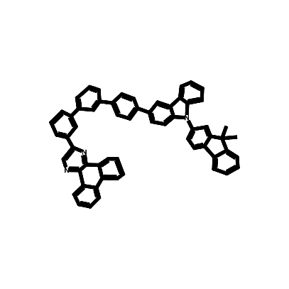 CC1(C)c2ccccc2-c2ccc(-n3c4ccccc4c4cc(-c5ccc(-c6cccc(-c7cccc(-c8cnc9c%10ccccc%10c%10ccccc%10c9n8)c7)c6)cc5)ccc43)cc21